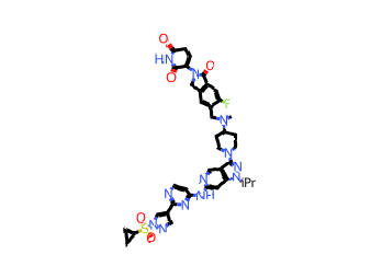 CC(C)n1nc(N2CCC(N(C)Cc3cc4c(cc3F)C(=O)N(C3CCC(=O)NC3=O)C4)CC2)c2cnc(Nc3ccnc(-c4cnn(S(=O)(=O)C5CC5)c4)n3)cc21